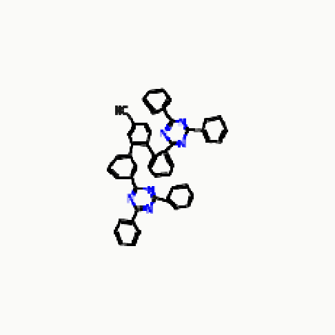 N#Cc1ccc(-c2ccccc2-c2nc(-c3ccccc3)nc(-c3ccccc3)n2)c(-c2cccc(-c3nc(-c4ccccc4)nc(-c4ccccc4)n3)c2)c1